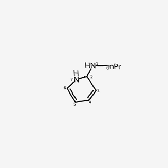 CCCN[C]1C=CC=CN1